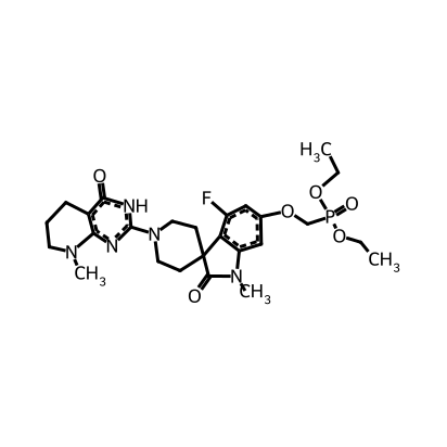 CCOP(=O)(COc1cc(F)c2c(c1)N(C)C(=O)C21CCN(c2nc3c(c(=O)[nH]2)CCCN3C)CC1)OCC